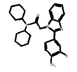 Cc1ccc(-c2nc3ccccc3n2CC(=O)N(C2CCCCC2)C2CCCCC2)cc1F